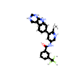 Cc1ncc(NC(=O)c2cccc(C(F)(F)F)c2)cc1-c1ccc2c(c1)[nH]c1ncncc12